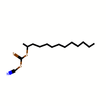 CCCCCCCCCCCC(C)SC(=S)SC#N